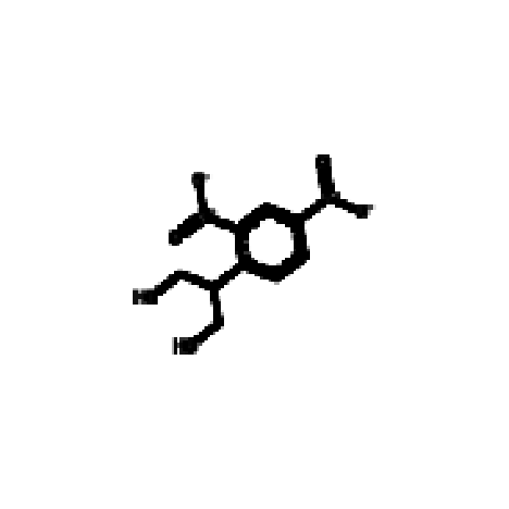 O=[N+]([O-])c1ccc(C(CO)CO)c([N+](=O)[O-])c1